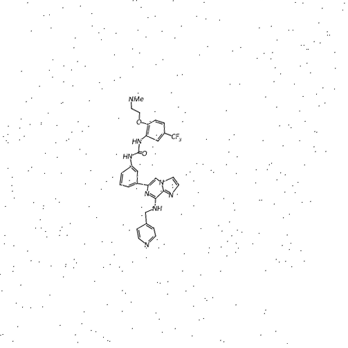 CNCCOc1ccc(C(F)(F)F)cc1NC(=O)Nc1cccc(-c2cn3ccnc3c(NCc3ccncc3)n2)c1